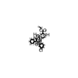 CCOC(=O)C1CN(S(=O)(=O)c2[nH]c3ccccc3c2S(=O)(=O)c2cccc(Cl)c2)CCN1